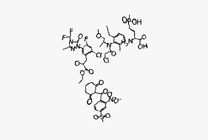 CCOC(=O)C(Cl)Cc1cc(-n2nc(C)n(C(F)F)c2=O)c(F)cc1Cl.CCc1cccc(C)c1N(C(=O)CCl)C(C)COC.CP(=O)(O)CCC(N)C(=O)O.CS(=O)(=O)c1ccc(C(=O)C2C(=O)CCCC2=O)c([N+](=O)[O-])c1